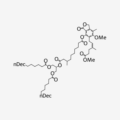 CCCCCCCCCCCCCCCC(=O)OCC(COC(=O)CCCCCCCCCCCCCCC)OC(=O)CC(C)CCCCCCC(=O)Oc1c(CC=C(C)CCC(=O)OC)c(OC)c(C)c2c1C(=O)OC2